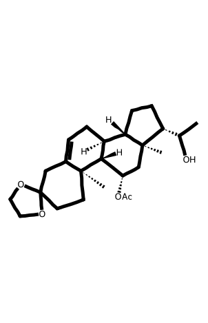 CC(=O)O[C@H]1C[C@]2(C)[C@@H](C(C)O)CC[C@H]2[C@@H]2CC=C3CC4(CC[C@]3(C)[C@H]21)OCCO4